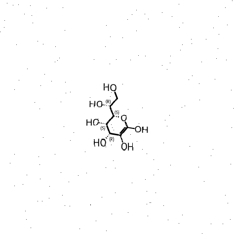 OC[C@@H](O)[C@@H]1OC(O)=C(O)[C@H](O)[C@@H]1O